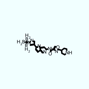 BC(B)(B)n1cc(-c2ccc3cnc(NC(=O)c4coc(C5CCNCC5)n4)cc3n2)cn1